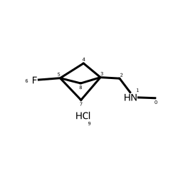 CNCC12CC(F)(C1)C2.Cl